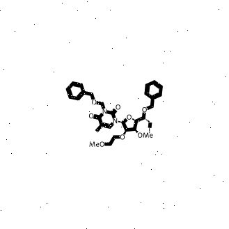 COCCO[C@@H]1[C@H](OC)[C@@H]([C@@H](CI)OCc2ccccc2)O[C@H]1n1cc(C)c(=O)n(COCc2ccccc2)c1=O